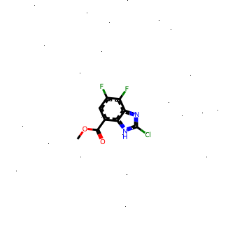 COC(=O)c1cc(F)c(F)c2nc(Cl)[nH]c12